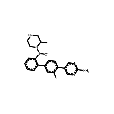 CC1CNCCN1[S+]([O-])c1ccccc1-c1ccc(-c2cnc(N)nc2)c(F)c1